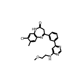 COCCNc1cc(-c2cccc(C3=Nc4cc(C)c(Cl)cc4NC(=O)C3)c2)ncn1